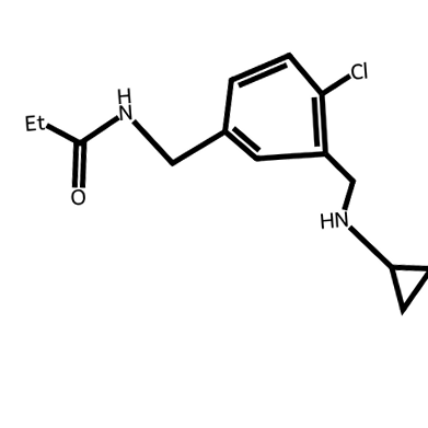 CCC(=O)NCc1ccc(Cl)c(CNC2CC2)c1